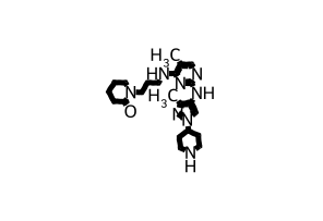 Cc1cnc(Nc2cn(C3CCNCC3)nc2C)nc1NCCCN1CCCCC1=O